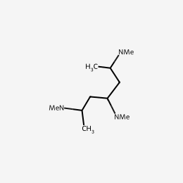 CN[C](CC(C)NC)CC(C)NC